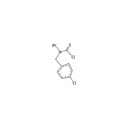 CC(C)N(Cc1ccc(Cl)cc1)C(=S)Cl